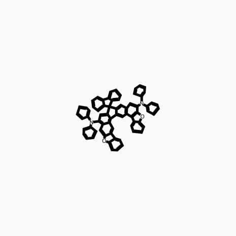 c1ccc(N(c2ccccc2)c2cc3c(c4cc5c(cc24)oc2ccccc25)-c2cc4c(cc2C32c3ccccc3-c3ccccc32)cc(N(c2ccccc2)c2ccccc2)c2oc3ccccc3c24)cc1